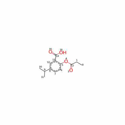 CCC(=O)Oc1ccc(C(C)C)cc1C(=O)O